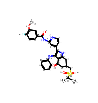 COc1cc(C(=O)Nc2cc(-c3[nH]c4c(c3Nc3ccccc3)C(=O)CC(CS(=O)(=O)C(C)C)C4)ccn2)ccc1F